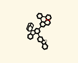 c1ccc(-c2ccccc2-c2cc(-c3cc(-c4ccc5c(c4)oc4ccccc45)c4c(c3)C3(c5ccccc5-4)C4CC5CC(C4)CC3C5)cc3ccccc23)cc1